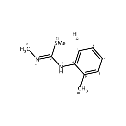 C/N=C(/Nc1ccccc1C)SC.I